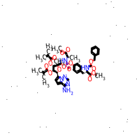 COC(=O)[C@H](C)NP(=O)(OC[C@@]1(C)O[C@@H](c2ccc3c(N)ncnn23)[C@H](OC(=O)C(C)C)[C@@H]1OC(=O)C(C)C)Oc1ccc(C[C@H](NC(=O)OCc2ccccc2)C(=O)OC)cc1